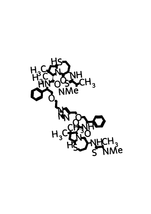 CNC(C)C(=S)N[C@H]1CCS[C@H]2CC(C)(C)[C@@H](C(=O)NC(COCCn3cc(COCC(NC(=O)[C@H]4N5C(=O)[C@@H](NC(=S)C(C)NC)CCS[C@H]5CC4(C)C)c4ccccc4)nn3)c3ccccc3)N2C1=O